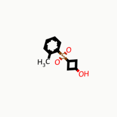 Cc1ccccc1S(=O)(=O)C1CC(O)C1